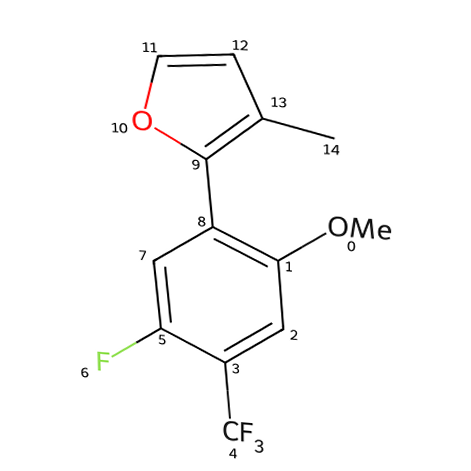 COc1cc(C(F)(F)F)c(F)cc1-c1occc1C